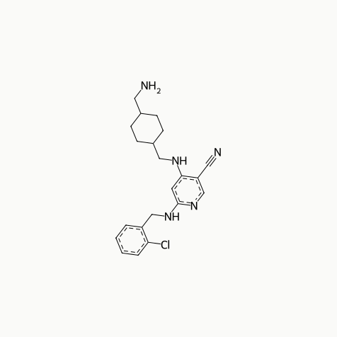 N#Cc1cnc(NCc2ccccc2Cl)cc1NCC1CCC(CN)CC1